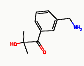 CC(C)(O)C(=O)c1cccc(CN)c1